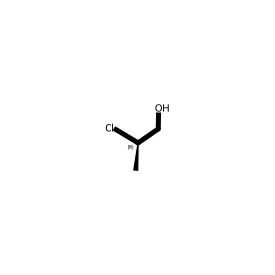 C[C@@H](Cl)CO